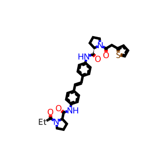 CCC(=O)N1CCCC1C(=O)Nc1ccc(/C=C/c2ccc(NC(=O)[C@@H]3CCCN3C(=O)Cc3cccs3)cc2)cc1